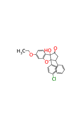 CCOc1ccc2c(c1)OC1(c3ccc(Cl)cc3)C(c3ccccc3)CC(=O)C21O